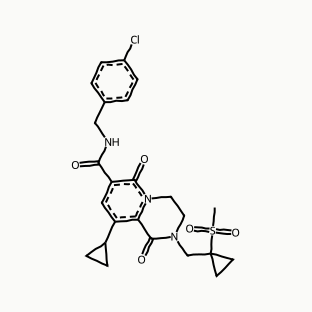 CS(=O)(=O)C1(CN2CCn3c(c(C4CC4)cc(C(=O)NCc4ccc(Cl)cc4)c3=O)C2=O)CC1